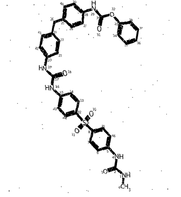 CNC(=O)Nc1ccc(S(=O)(=O)c2ccc(NC(=O)Nc3ccc(Cc4ccc(NC(=O)Oc5ccccc5)cc4)cc3)cc2)cc1